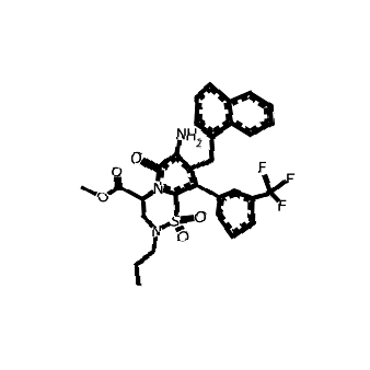 CCCN1CC(C(=O)OC)n2c(c(-c3cccc(C(F)(F)F)c3)c(Cc3cccc4ccccc34)c(N)c2=O)S1(=O)=O